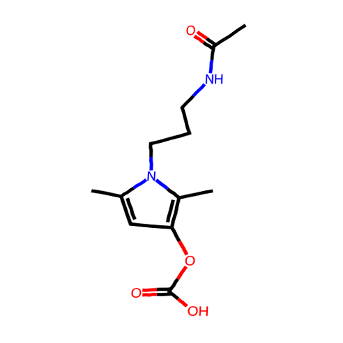 CC(=O)NCCCn1c(C)cc(OC(=O)O)c1C